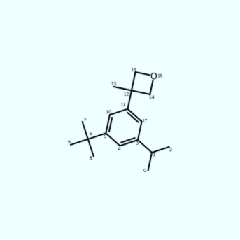 CC(C)c1cc(C(C)(C)C)cc(C2(C)COC2)c1